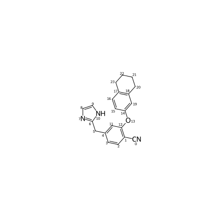 N#Cc1ccc(Cc2ncc[nH]2)cc1Oc1ccc2c(c1)CCCC2